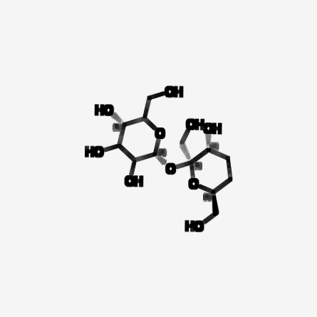 OCC1O[C@H](O[C@]2(CO)O[C@H](CO)CC[C@H]2O)C(O)C(O)[C@@H]1O